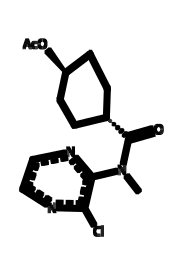 CC(=O)O[C@H]1CC[C@H](C(=O)N(C)c2nccnc2Cl)CC1